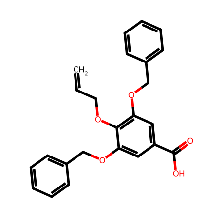 C=CCOc1c(OCc2ccccc2)cc(C(=O)O)cc1OCc1ccccc1